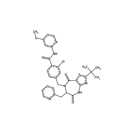 COc1ccnc(NC(=O)c2ccc(CN3C(=O)c4sc(C(C)(C)C)nc4NC(=O)C3Cc3ccccn3)cc2Cl)c1